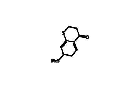 CSC1C=C2SCCC(=O)C2=CC1